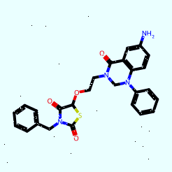 Nc1ccc2c(c1)C(=O)N(CCOC1SC(=O)N(Cc3ccccc3)C1=O)CN2c1ccccc1